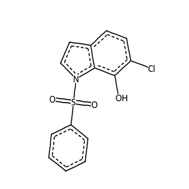 O=S(=O)(c1ccccc1)n1ccc2ccc(Cl)c(O)c21